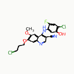 COc1cc2c(Nc3cc(O)c(Cl)cc3F)c(C#N)cnc2cc1OCCCCl